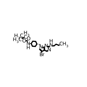 CCCCNc1ncc2c(Br)cn(C[C@H]3CC[C@H](NC(=O)OC(C)(C)C)CC3)c2n1